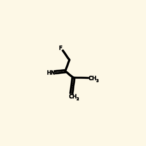 C=C(C)C(=N)CF